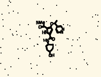 CNC(=O)c1[nH]c(C(=O)NC2CCC(O)CC2)cc1OC(C)c1ccnnc1